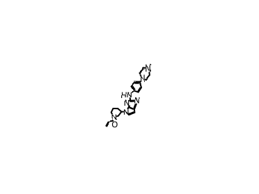 C=CC(=O)N1CCCC(n2ccc3cnc(Nc4ccc(N5CCN(C)CC5)cc4)nc32)C1